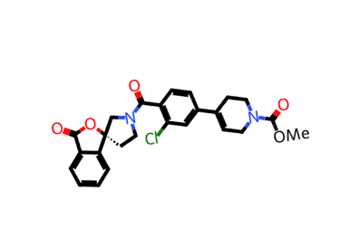 COC(=O)N1CC=C(c2ccc(C(=O)N3CC[C@@]4(C3)OC(=O)c3ccccc34)c(Cl)c2)CC1